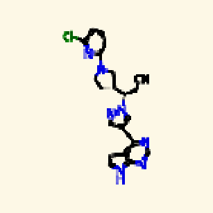 N#CC[C@H](C1CCN(c2cccc(Cl)n2)C1)n1cc(-c2ncnc3[nH]ccc23)cn1